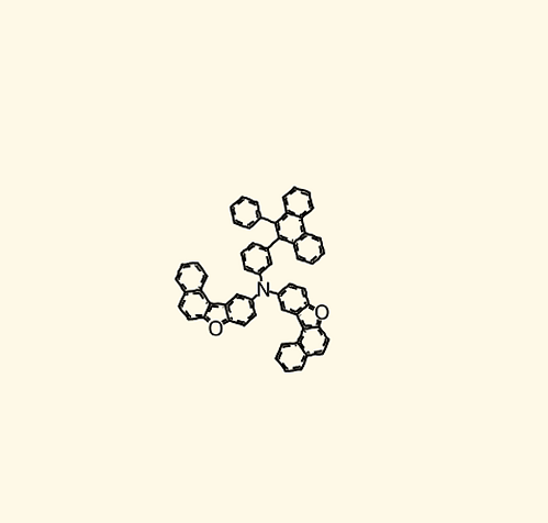 c1ccc(-c2c(-c3cccc(N(c4ccc5oc6ccc7ccccc7c6c5c4)c4ccc5oc6ccc7ccccc7c6c5c4)c3)c3ccccc3c3ccccc23)cc1